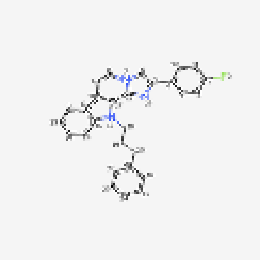 Fc1ccc(-c2cn3ccc4c5ccccc5n(CCCc5ccccc5)c4c3n2)cc1